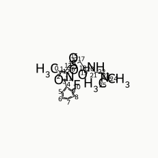 Cc1oc(-c2ccccc2F)nc1CS(=O)(=O)CC(=O)NCCN(C)C